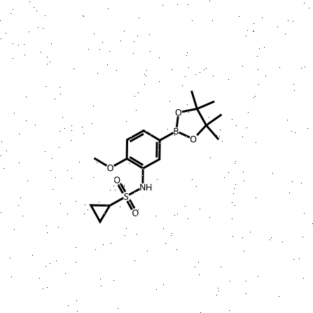 COc1ccc(B2OC(C)(C)C(C)(C)O2)cc1NS(=O)(=O)C1CC1